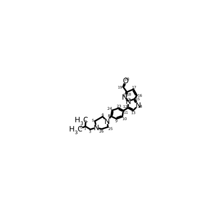 CC(C)CN1CCN(c2ccc(-c3cnc4ccc(C=O)nn34)cc2)CC1